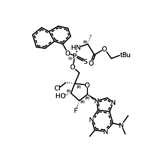 Cc1nc(N(C)C)c2ncn([C@@H]3O[C@](CCl)(CO[P@@](=S)(N[C@H](C)C(=O)OCC(C)(C)C)Oc4cccc5ccccc45)[C@@H](O)[C@H]3F)c2n1